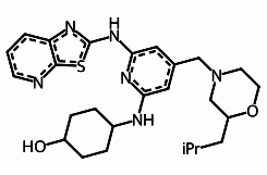 CC(C)CC1CN(Cc2cc(Nc3nc4cccnc4s3)nc(NC3CCC(O)CC3)c2)CCO1